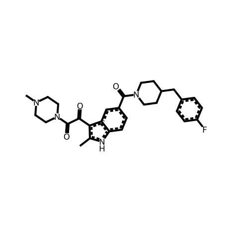 Cc1[nH]c2ccc(C(=O)N3CCC(Cc4ccc(F)cc4)CC3)cc2c1C(=O)C(=O)N1CCN(C)CC1